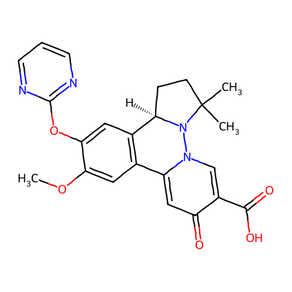 COc1cc2c(cc1Oc1ncccn1)[C@H]1CCC(C)(C)N1n1cc(C(=O)O)c(=O)cc1-2